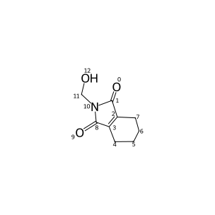 O=C1C2=C(CCCC2)C(=O)N1CO